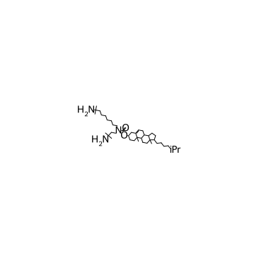 CC(C)CCCCC1CCC2C3CC=C4CC(OC(=O)N(CCCCCCCC(C)(C)N)CCC(C)(C)N)CCC4(C)C3CCC12C